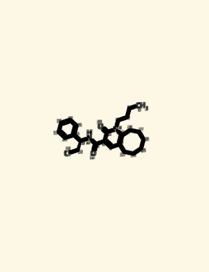 CCCCn1c2c(cc(C(=O)N[C@@H](CCl)c3ccccc3)c1=O)CCCCCC2